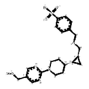 CCS(=O)(=O)c1ccc(COC[C@H]2C[C@@H]2C2CCN(c3ncc(COC)cn3)CC2)cc1